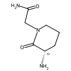 NC(=O)CN1CCC[C@H](N)C1=O